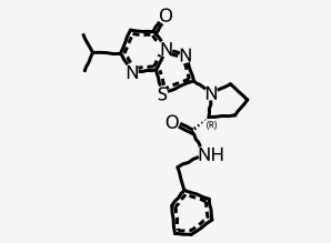 CC(C)c1cc(=O)n2nc(N3CCC[C@@H]3C(=O)NCc3ccccc3)sc2n1